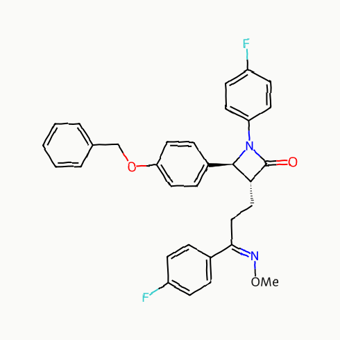 CO/N=C(/CC[C@H]1C(=O)N(c2ccc(F)cc2)[C@@H]1c1ccc(OCc2ccccc2)cc1)c1ccc(F)cc1